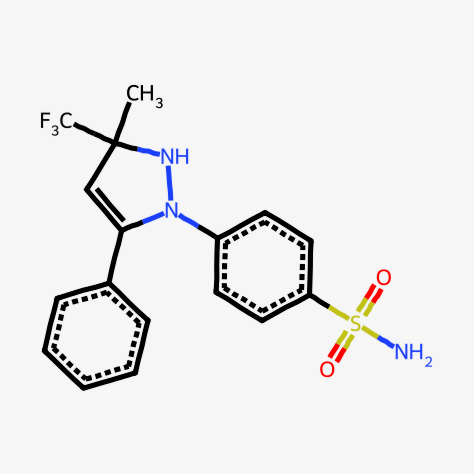 CC1(C(F)(F)F)C=C(c2ccccc2)N(c2ccc(S(N)(=O)=O)cc2)N1